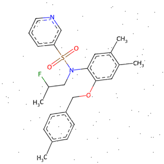 Cc1ccc(COc2cc(C)c(C)cc2N(CC(C)F)S(=O)(=O)c2cccnc2)cc1